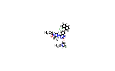 C=CC(=O)N1CCN(c2nc(OC[C@@H]3C[C@@H](F)CN3C)nc3cc(-c4cccc5cccc(Cl)c45)ccc23)C[C@@H]1CC#N